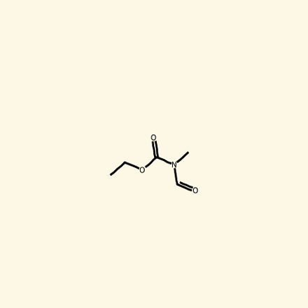 CCOC(=O)N(C)C=O